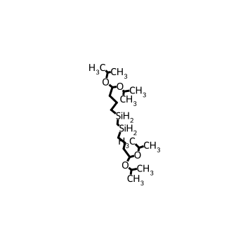 CC(C)OC(CCC[SiH2]C[SiH2]CCCC(OC(C)C)OC(C)C)OC(C)C